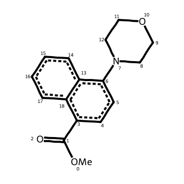 COC(=O)c1ccc(N2CCOCC2)c2ccccc12